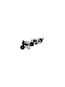 Cc1cc(-c2ccccc2)c(C(=O)C(=O)Nc2ccc3c(c2)OC[C@H]2CN(c4ncc(F)cn4)CCN32)n1C